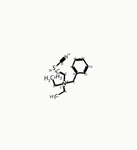 CC[N+](CC)(CC)Cc1ccccc1.N#C[S-]